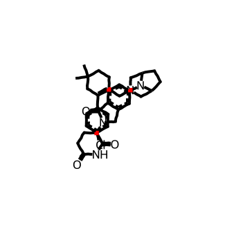 CC1(C)CCC(CN2CC3CCC(C2)N3c2ccc3c(c2)CN(C2CCC(=O)NC2=O)C3=O)=C(c2ccc(Cl)cc2)C1